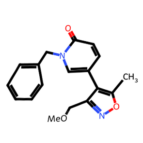 COCc1noc(C)c1-c1ccc(=O)n(Cc2ccccc2)c1